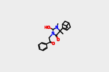 CN1C(O)N(CC(=O)c2ccccc2)C(=O)C1(C)C1=CCC2CC1C2(C)C